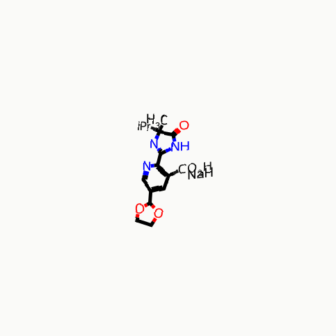 CC(C)C1(C)N=C(c2ncc(C3OCCO3)cc2C(=O)O)NC1=O.[NaH]